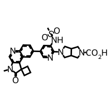 CN1C(=O)C2(CCC2)c2c1cnc1ccc(-c3cnc(N4CC5CN(C(=O)O)CC5C4)c(NS(C)(=O)=O)c3)cc21